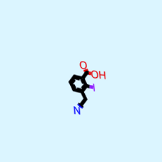 N#CCc1cccc(C(=O)O)c1I